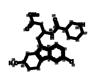 COC(=O)CC(Cn1c2c(c3cc(Cl)ccc31)CCN(C)C2)NC(=O)C1CCCNC1